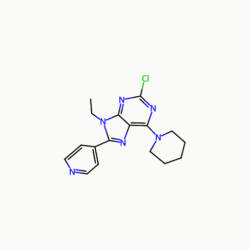 CCn1c(-c2ccncc2)nc2c(N3CCCCC3)nc(Cl)nc21